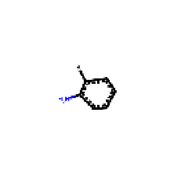 [B]c1ccccc1N